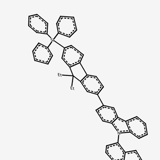 CCC1(CC)c2cc(-c3ccc4c(c3)c3ccccc3n4-c3cccc4ccccc34)ccc2-c2ccc([Si](c3ccccc3)(c3ccccc3)c3ccccc3)cc21